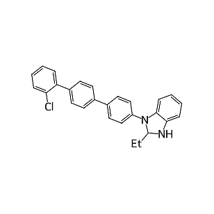 CCC1Nc2ccccc2N1c1ccc(-c2ccc(-c3ccccc3Cl)cc2)cc1